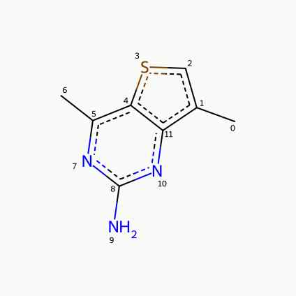 Cc1csc2c(C)nc(N)nc12